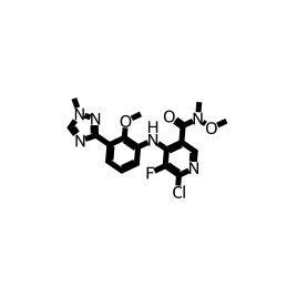 COc1c(Nc2c(C(=O)N(C)OC)cnc(Cl)c2F)cccc1-c1ncn(C)n1